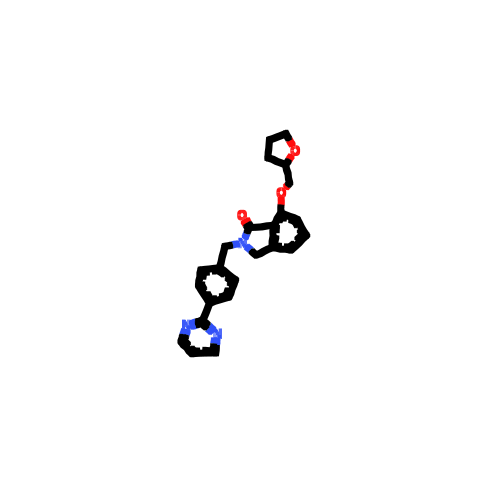 O=C1c2c(cccc2OCC2CCCO2)CN1Cc1ccc(-c2ncccn2)cc1